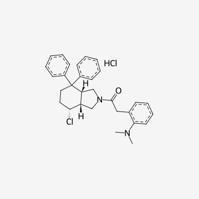 CN(C)c1ccccc1CC(=O)N1C[C@@H]2[C@H](Cl)CCC(c3ccccc3)(c3ccccc3)[C@@H]2C1.Cl